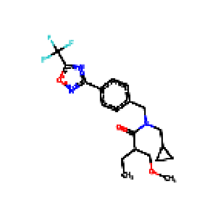 CCC(COC)C(=O)N(Cc1ccc(-c2noc(C(F)(F)F)n2)cc1)CC1CC1